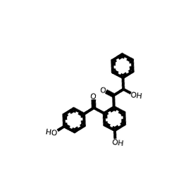 O=C(c1ccc(O)cc1)c1cc(O)ccc1C(=O)C(O)c1ccccc1